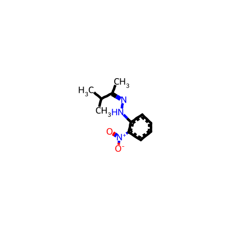 CC(=NNc1ccccc1[N+](=O)[O-])C(C)C